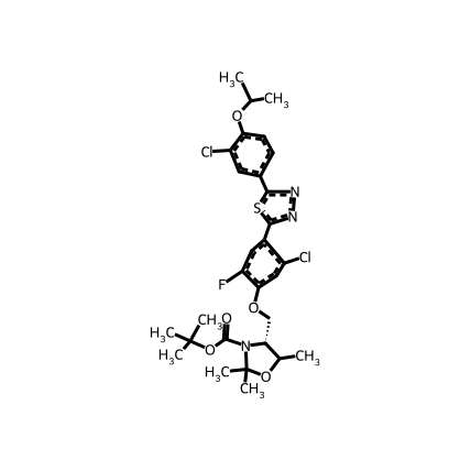 CC(C)Oc1ccc(-c2nnc(-c3cc(F)c(OC[C@@H]4C(C)OC(C)(C)N4C(=O)OC(C)(C)C)cc3Cl)s2)cc1Cl